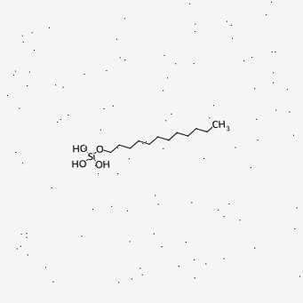 CCCCCCCCCCCCO[Si](O)(O)O